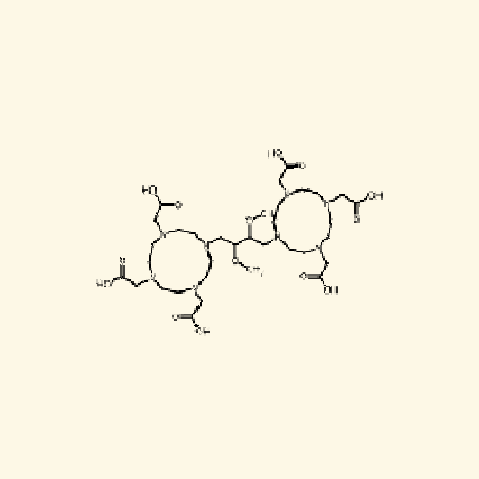 COC(CN1CCN(CC(=O)O)CCN(CC(=O)O)CCN(CC(=O)O)CC1)C(CN1CCN(CC(=O)O)CCN(CC(=O)O)CCN(CC(=O)O)CC1)OC